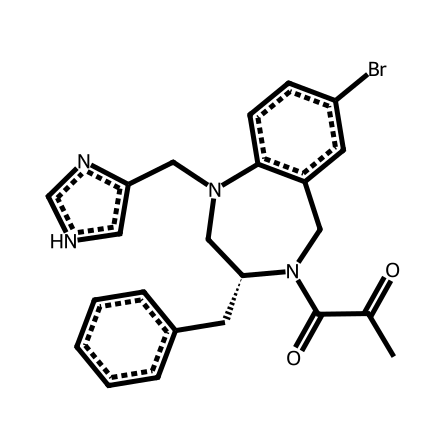 CC(=O)C(=O)N1Cc2cc(Br)ccc2N(Cc2c[nH]cn2)C[C@H]1Cc1ccccc1